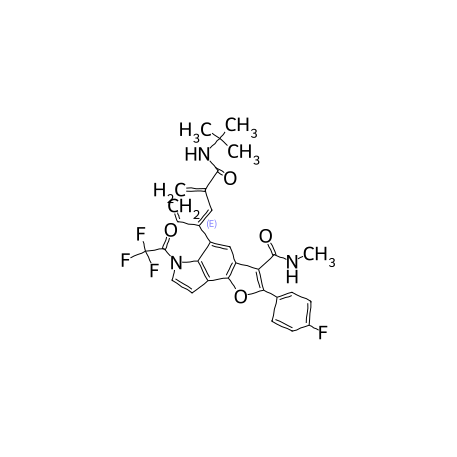 C=C/C(=C\C(=C)C(=O)NC(C)(C)C)c1cc2c(C(=O)NC)c(-c3ccc(F)cc3)oc2c2ccn(C(=O)C(F)(F)F)c12